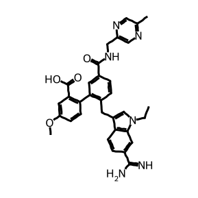 CCn1cc(Cc2ccc(C(=O)NCc3cnc(C)cn3)cc2-c2ccc(OC)cc2C(=O)O)c2ccc(C(=N)N)cc21